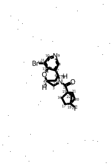 O=C(N1C[C@@H]2C[C@H]1c1cncc(Br)c1O2)C12CCC(F)(CC1)C2